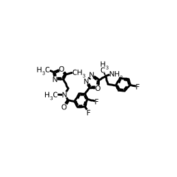 Cc1nc(CN(C)C(=O)c2cc(F)c(F)c(-c3nnc([C@](C)(N)Cc4ccc(F)cc4)o3)c2)c(C)o1